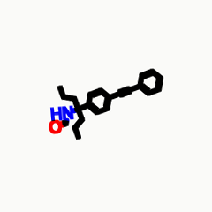 CCCC(CCC)(NC=O)c1ccc(C#Cc2ccccc2)cc1